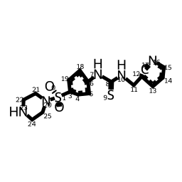 O=S(=O)(c1ccc(NC(=S)NCc2cccnc2)cc1)N1CCNCC1